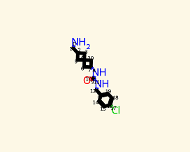 NCC1CC2(C1)CC(NC(=O)NCc1ccc(Cl)cc1)C2